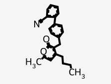 CCCCc1cc(C)oc(=O)c1Cc1ccc(-c2ccccc2C#N)cc1